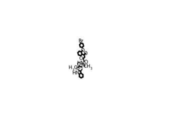 COC(=O)[C@@H](Cc1c[nH]c2ccccc12)N(C)NC(=O)c1cc(=O)c2c(Oc3ccc(Br)cc3)cccc2o1